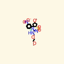 COCCOCNC1=NC2(c3cc([N+](=O)[O-])ccc3F)CC(OC)CC2S(=O)(=O)N1C